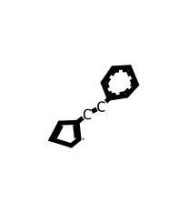 [C]1=C(CCc2ccccc2)C=CC1